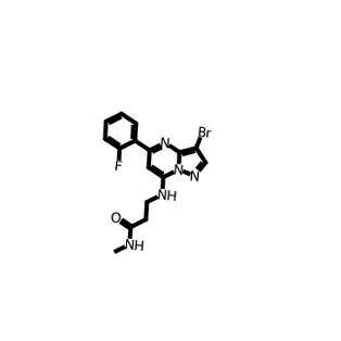 CNC(=O)CCNc1cc(-c2ccccc2F)nc2c(Br)cnn12